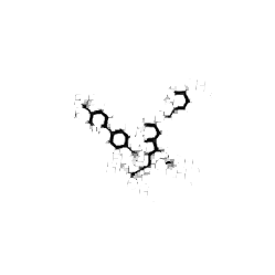 Cc1ccc(COc2cnc3c(c2)c(SC(C)(C)C)c(CC(C)(C)C(=O)O)n3Cc2ccc(-c3ccc(C(F)(F)F)cn3)cc2)nc1